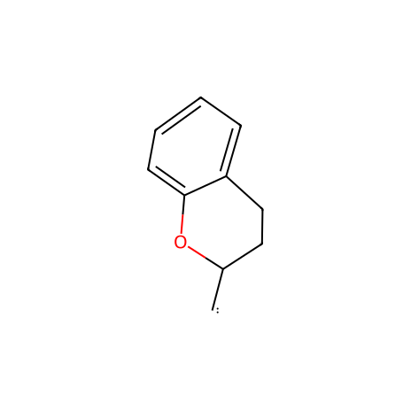 [CH]C1CCc2ccccc2O1